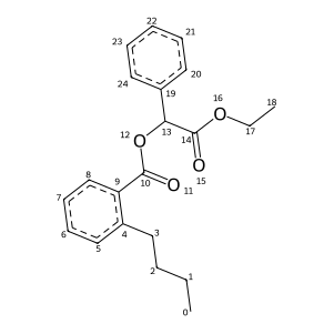 CCCCc1ccccc1C(=O)OC(C(=O)OCC)c1ccccc1